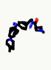 CC1CCN(c2ccc(Nc3ccc(CNC(=O)C4CN(C)C4)cc3)cc2)CC1